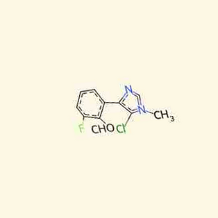 Cn1cnc(-c2cccc(F)c2C=O)c1Cl